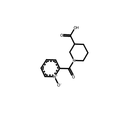 O=C(O)C1CCCN(C(=O)c2cccc[n+]2[O-])C1